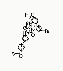 Cc1ccc(-n2nc(C(C)(C)C)cc2N(OS(C)(=O)=O)C(=O)Nc2ccc(N3CCN(C(=O)C4CC4)CC3)cc2)cc1